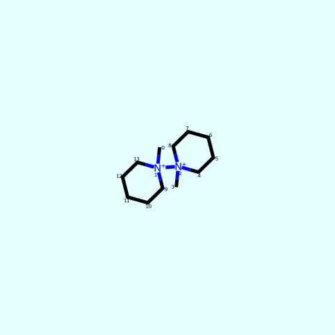 C[N+]1([N+]2(C)CCCCC2)CCCCC1